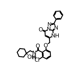 O=C(NCC1(O)CCCCC1)c1c(Cl)cccc1OCc1cc(=O)n2nc(-c3ccccc3)nc2[nH]1